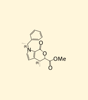 COC(=O)C1OC(=O)c2c(ccn2[C@H](C)c2ccccc2)[C@H]1C